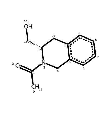 CC(=O)N1Cc2ccccc2C[C@H]1CO